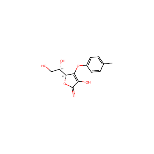 Cc1ccc(OC2=C(O)C(=O)O[C@@H]2[C@@H](O)CO)cc1